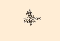 C=C[C@@H]1C[C@]1(NC(=O)[C@@H]1C[C@@H](OC=O)CN1C(=O)[C@@H](Nc1ccc(Br)cc1)C(C)C)C(=O)NS(=O)(=O)C1CC1